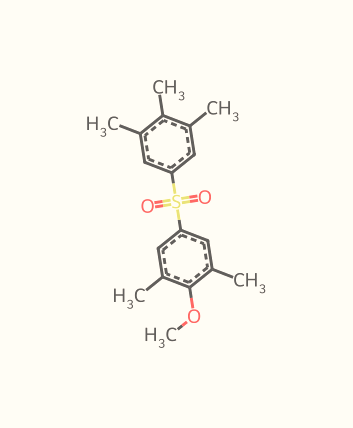 COc1c(C)cc(S(=O)(=O)c2cc(C)c(C)c(C)c2)cc1C